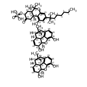 CCCCCCC(C)(C)c1cc(O)c2c(c1)OC(C)(C)[C@@H]1CCC(=O)C[C@@H]21.CN1CC[C@]23c4c5ccc(O)c4O[C@H]2[C@@H](O)C=C[C@H]3[C@H]1C5.CN1CC[C@]23c4c5ccc(O)c4O[C@H]2[C@@H](O)C=C[C@H]3[C@H]1C5.O=S(=O)(O)O